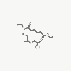 CC(O)COC(C)CO.CCOC(=O)CCCCC(=O)OCC